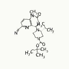 CC(C)[C@@H]1CN(C(=O)OC(C)(C)C)CCN1c1cc(=O)n(C)c2ccc(C#N)nc12